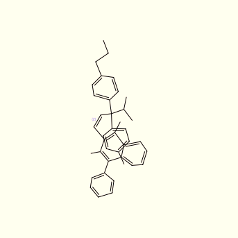 CCCc1ccc(C(/C=C\c2c(C)c(-c3ccccc3)c3ccccc3c2C)(c2ccc(C)cc2)C(C)C)cc1